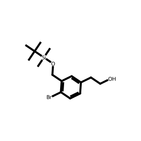 CC(C)(C)[Si](C)(C)OCc1cc(CCO)ccc1Br